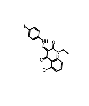 CCNC(=O)C(=CNc1ccc(I)cc1)C(=O)c1ccccc1Cl